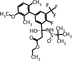 CCOC(=O)C[C@](O)(N[S@+]([O-])C(C)(C)C)c1cc(-c2c(C)ccc(OC)c2C)cc(C(F)(F)F)c1F